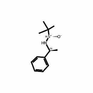 C[C@H](N[S@@+]([O-])C(C)(C)C)c1ccccc1